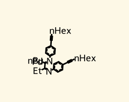 CCCCCCC#Cc1ccc(N=C(CC)C(CCCC)=Nc2ccc(C#CCCCCCC)cc2)cc1.[Pd]